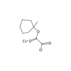 CC1(OC(=O)C(=O)[O-])CCCCC1.[Cs+]